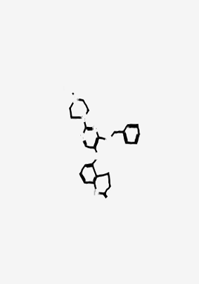 CN1CCN(c2ncc(Sc3cccc4c3CCC(=O)N4)c(OCc3ccccc3)n2)CC1